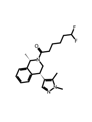 Cc1c([C@H]2CN(C(=O)CCCCC(F)F)[C@@H](C)c3ccccc32)cnn1C